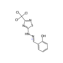 Oc1ccccc1/C=N/Nc1nc(C(Cl)(Cl)Cl)ns1